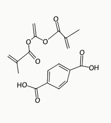 C=C(OC(=O)C(=C)C)OC(=O)C(=C)C.O=C(O)c1ccc(C(=O)O)cc1